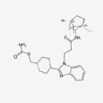 CC1(C)[C@@H]2CC[C@@]1(C)C(NC(=O)CCn1c(C3CCC(COC(N)=O)CC3)nc3ccccc31)C2